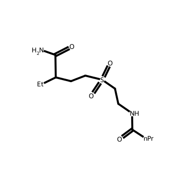 CCCC(=O)NCCS(=O)(=O)CCC(CC)C(N)=O